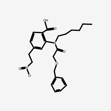 CCCCCCN(C(=O)COCc1ccccc1)c1cc(CC[N+](=O)[O-])ccc1C(=O)O